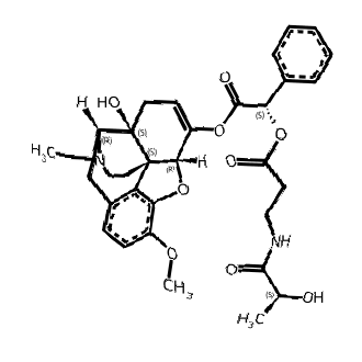 COc1ccc2c3c1O[C@H]1C(OC(=O)[C@@H](OC(=O)CCNC(=O)[C@H](C)O)c4ccccc4)=CC[C@@]4(O)[C@@H](C2)N(C)CC[C@]314